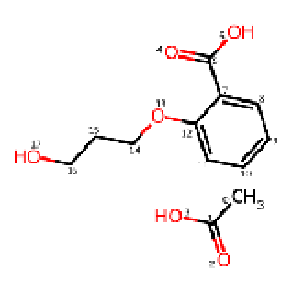 CC(=O)O.O=C(O)c1ccccc1OCCCO